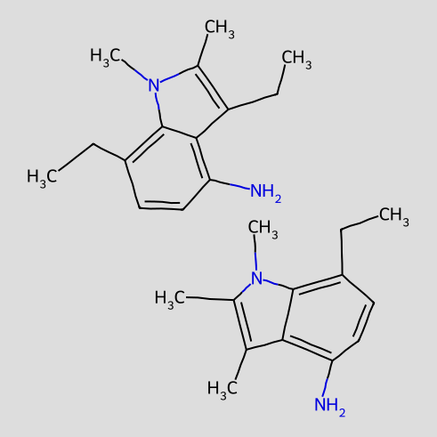 CCc1c(C)n(C)c2c(CC)ccc(N)c12.CCc1ccc(N)c2c(C)c(C)n(C)c12